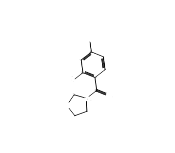 Nc1cc(Cl)ccc1C(=O)N1CCSC1